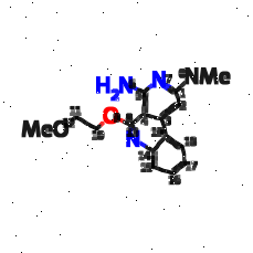 CNc1cc2c(c(N)n1)c(OCCOC)nc1ccccc12